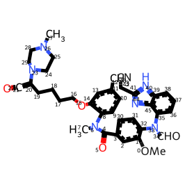 COc1cc(C(=O)N(C)c2ccc(C)cc2OCCCCC(=C=O)N2CCN(C)CC2)ccc1N(C=O)c1cccc2[nH]c(CC#N)nc12